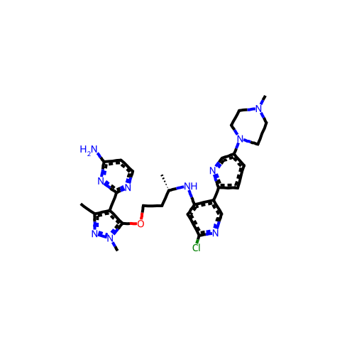 Cc1nn(C)c(OCC[C@H](C)Nc2cc(Cl)ncc2-c2ccc(N3CCN(C)CC3)cn2)c1-c1nccc(N)n1